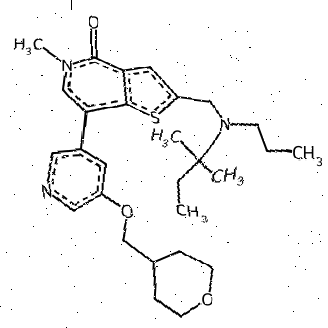 CCCN(Cc1cc2c(=O)n(C)cc(-c3cncc(OCC4CCOCC4)c3)c2s1)C(C)(C)CC